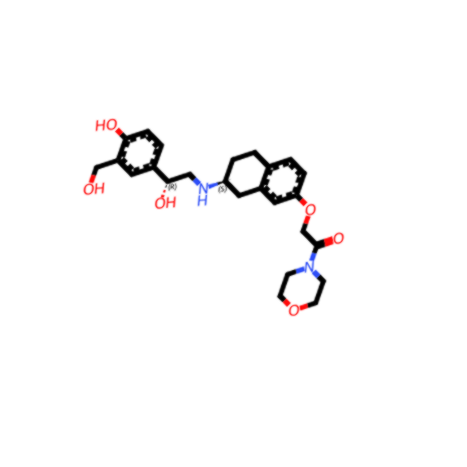 O=C(COc1ccc2c(c1)C[C@@H](NC[C@H](O)c1ccc(O)c(CO)c1)CC2)N1CCOCC1